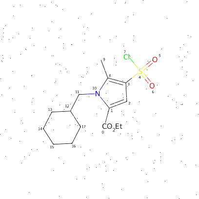 CCOC(=O)c1cc(S(=O)(=O)Cl)c(C)n1CC1CCCCC1